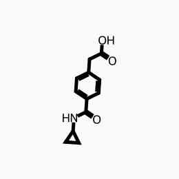 O=C(O)Cc1ccc(C(=O)NC2CC2)cc1